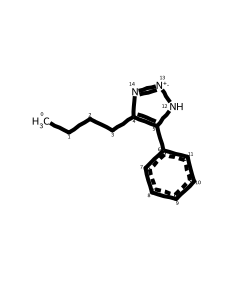 CCCCC1=C(c2ccccc2)N[N+]=N1